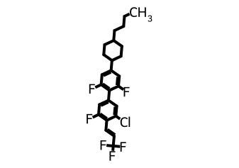 CCCCC1CCC(c2cc(F)c(-c3cc(F)c(/C=C/C(F)(F)F)c(Cl)c3)c(F)c2)CC1